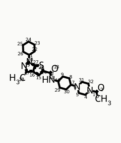 CC(=O)N1CCN(C2CCC(NC(=O)c3cc4c(C)nn(C5CCCCC5)c4s3)CC2)CC1